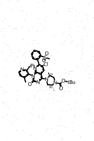 Cc1ccnc(C(C)C)c1-n1c(=O)nc(N2C[C@@H](C)N(C(=O)OC(C)(C)C)C[C@@H]2C)c2cc(Cl)c(-c3ccccc3S(C)(=O)=O)nc21